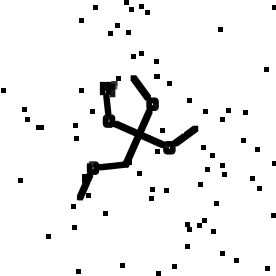 COCC(OC)(OC)[O][Hf]